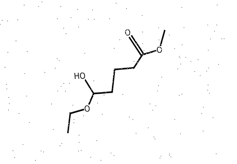 CCOC(O)CCCC(=O)OC